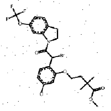 COC(=O)C(C)(C)CCOc1cc(Cl)ccc1C(Br)C(=O)N1CCc2ccc(OC(F)(F)F)cc21